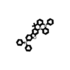 CC1(C)c2cc3c(cc2B2c4ccccc4N(c4ccccc4)c4cccc1c42)oc1cc(N(c2ccccc2)c2ccccc2)ccc13